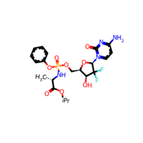 CC(C)OC(=O)[C@H](C)NP(=O)(OC[C@H]1O[C@@H](n2ccc(N)nc2=O)C(F)(F)[C@H]1O)Oc1ccccc1